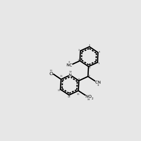 N#Cc1ccccc1C(C#N)c1nc(Cl)ccc1[N+](=O)[O-]